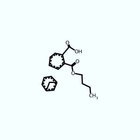 CCCCOC(=O)c1ccccc1C(=O)O.c1cc2cc(c1)C2